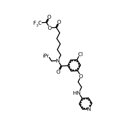 CC(C)CN(CCCCCC(=O)OC(=O)C(F)(F)F)C(=O)c1cc(Cl)cc(OCCNc2ccncc2)c1